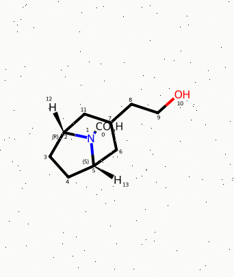 O=C(O)N1[C@@H]2CC[C@H]1CC(CCO)C2